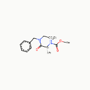 CCC[C@@H](NC(=O)OC(C)(C)C)C(=O)N(CC(=O)OCC)Cc1ccccc1